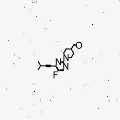 CC(C)C#Cc1nc(N2CCC(C=O)CC2)ncc1F